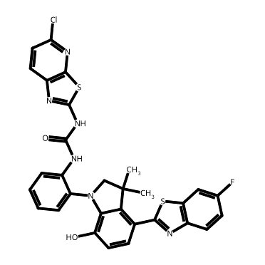 CC1(C)CN(c2ccccc2NC(=O)Nc2nc3ccc(Cl)nc3s2)c2c(O)ccc(-c3nc4ccc(F)cc4s3)c21